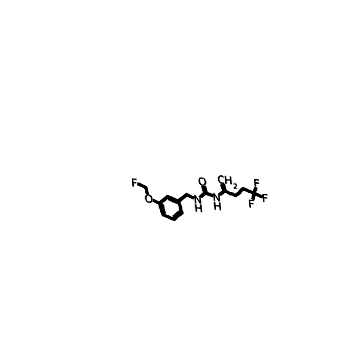 C=C(CCC(F)(F)F)NC(=O)NCc1cccc(OCF)c1